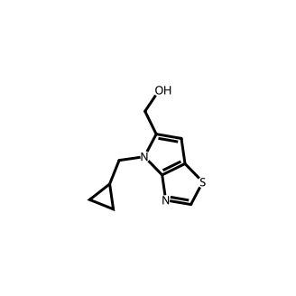 OCc1cc2scnc2n1CC1CC1